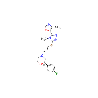 Cc1ncoc1-c1nnc(SCCCN2CCO[C@H](c3ccc(F)cc3)C2)n1C